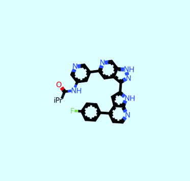 CC(C)C(=O)Nc1cncc(-c2cc3c(-c4cc5c(-c6ccc(F)cc6)ccnc5[nH]4)n[nH]c3cn2)c1